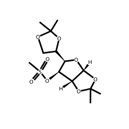 CC1(C)OCC([C@H]2O[C@@H]3OC(C)(C)O[C@@H]3[C@H]2OS(C)(=O)=O)O1